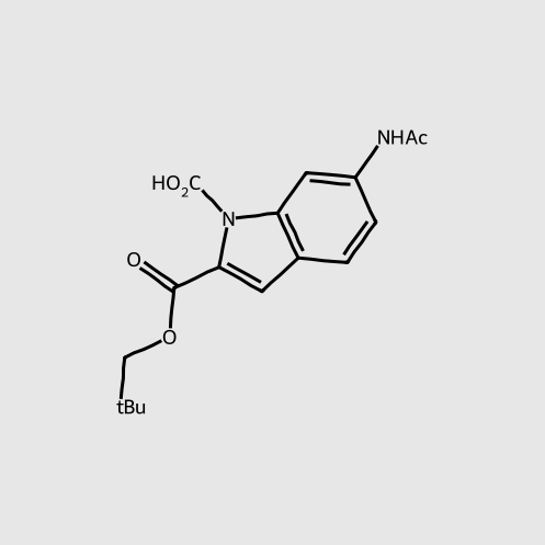 CC(=O)Nc1ccc2cc(C(=O)OCC(C)(C)C)n(C(=O)O)c2c1